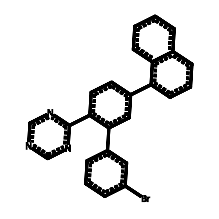 Brc1cccc(-c2cc(-c3cccc4ccccc34)ccc2-c2ncncn2)c1